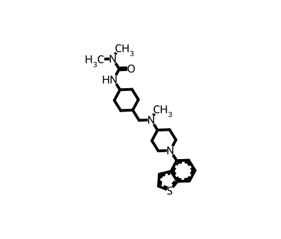 CN(C)C(=O)NC1CCC(CN(C)C2CCN(c3cccc4sccc34)CC2)CC1